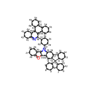 c1ccc(C2(c3ccccc3)c3ccccc3-c3cc4c(cc32)c2oc3ccccc3c2n4-c2cccc(-c3nc4ccccc4c4c5ccccc5c5ccccc5c34)c2)cc1